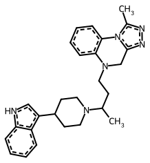 Cc1nnc2n1-c1ccccc1N(CCC(C)N1CCC(c3c[nH]c4ccccc34)CC1)C2